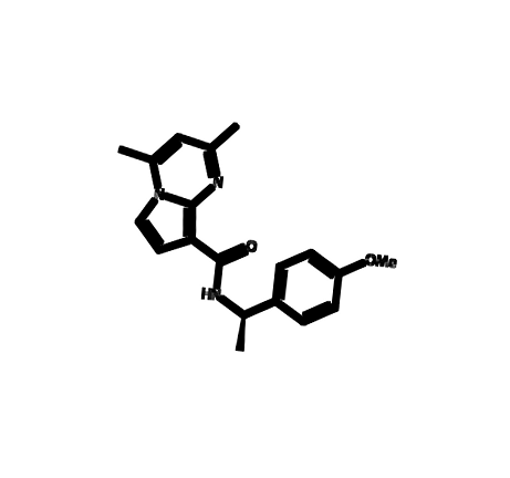 COc1ccc([C@@H](C)NC(=O)c2ccn3c(C)cc(C)nc23)cc1